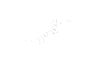 CCCNC(=O)Nc1ccc(Oc2ncnc3cc(OCCCCBr)c(OC)cc23)cc1Cl